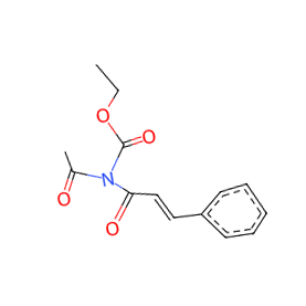 CCOC(=O)N(C(C)=O)C(=O)/C=C/c1ccccc1